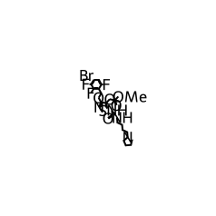 COC(=O)Oc1c(OCc2c(F)cc(Br)c(F)c2F)nsc1NC(=O)NCCCCN1CCCC1